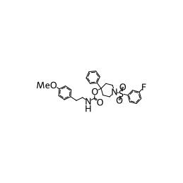 COc1ccc(CCNC(=O)OC2(c3ccccc3)CCN(S(=O)(=O)c3cccc(F)c3)CC2)cc1